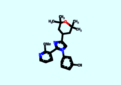 COc1ncccc1-c1nc(C2CC(C)(C)OC(C)(C)C2)cn1-c1cccc(C#N)c1